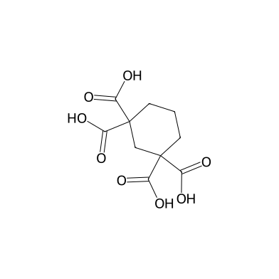 O=C(O)C1(C(=O)O)CCCC(C(=O)O)(C(=O)O)C1